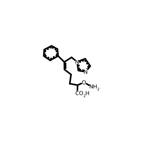 NOC(CCC=C(Cn1ccnc1)c1ccccc1)C(=O)O